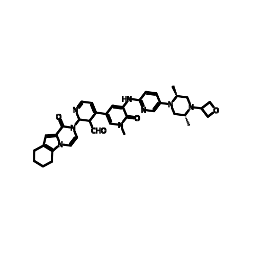 C[C@@H]1CN(c2ccc(Nc3cc(C4=CC=NC(n5ccn6c7c(cc6c5=O)CCCC7)C4C=O)cn(C)c3=O)nc2)[C@@H](C)CN1C1COC1